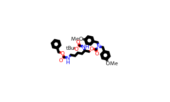 COc1ccc(CN(Cc2ccc(OC)cc2)C(=O)OCC(CCCCNC(=O)OCc2ccccc2)NC(=O)OC(C)(C)C)cc1